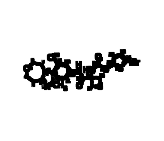 CN=C1CCOCCN1c1ccc(NC(=O)C2(NC(=O)Oc3ccc(Br)s3)CSC2)cc1Cl